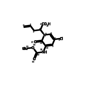 C=CCC(C(=O)O)n1cc(Cl)cc(NC(=O)OC(C)(C)C)c1=O